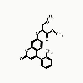 COC[C@H](Oc1ccc2c(-c3ccccc3C)cc(=O)oc2c1)C(=O)OC